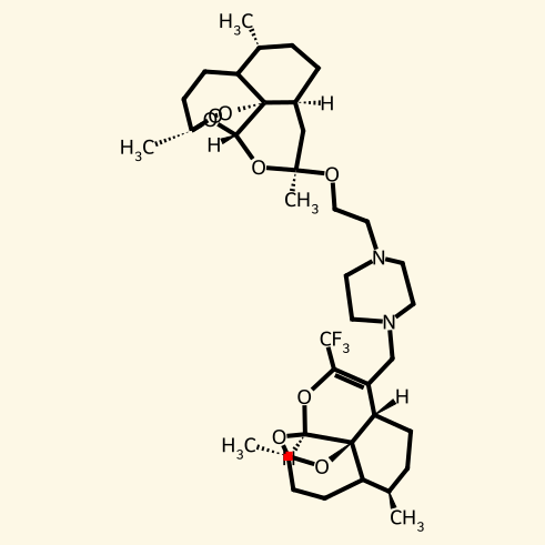 C[C@@H]1CC[C@H]2C[C@@](C)(OCCN3CCN(CC4=C(C(F)(F)F)O[C@@H]5O[C@]6(C)CCC7[C@H](C)CC[C@@H]4[C@]75O6)CC3)O[C@@H]3O[C@]4(C)CCC1[C@@]23OO4